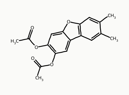 CC(=O)Oc1cc2oc3cc(C)c(C)cc3c2cc1OC(C)=O